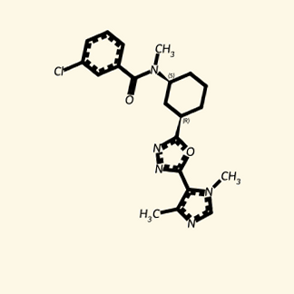 Cc1ncn(C)c1-c1nnc([C@@H]2CCC[C@H](N(C)C(=O)c3cccc(Cl)c3)C2)o1